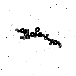 CCOc1ccc2[nH]cc(C[C@H](NC(=O)c3ccc4c(c3)nc(-c3ccc(OCC(=O)NCCNC(=O)c5ccc(N=[N+]=[N-])cc5)cc3)n4C3CCCCC3)C(=O)O)c2c1